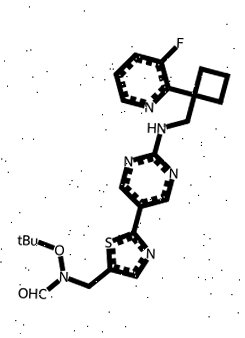 CC(C)(C)ON(C=O)Cc1cnc(-c2cnc(NCC3(c4ncccc4F)CCC3)nc2)s1